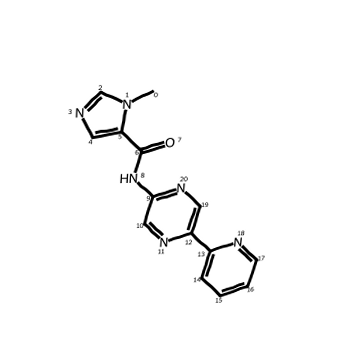 Cn1cncc1C(=O)Nc1cnc(-c2ccccn2)cn1